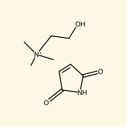 C[N+](C)(C)CCO.O=C1C=CC(=O)N1